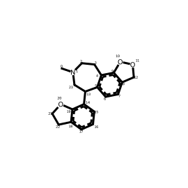 CN1CCc2c(ccc3c2OOC3)C(c2cccc3c2OCC3)C1